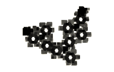 [Br-].[Br-].[Br-].[Rh+3].c1ccc(P(c2ccccc2)c2ccccc2)cc1.c1ccc(P(c2ccccc2)c2ccccc2)cc1.c1ccc(P(c2ccccc2)c2ccccc2)cc1